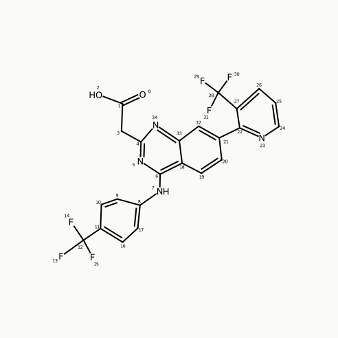 O=C(O)Cc1nc(Nc2ccc(C(F)(F)F)cc2)c2ccc(-c3ncccc3C(F)(F)F)cc2n1